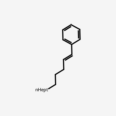 CCCCCCCCCCC=Cc1cc[c]cc1